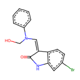 O=C1Nc2cc(Br)ccc2C1=CN(CO)c1ccccc1